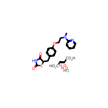 CN(CCOc1ccc(CC2SC(=O)NC2=O)cc1)c1ccccn1.Cl.O.O.O=C(O)C=CC(=O)O